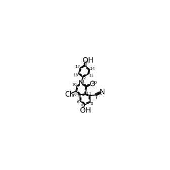 N#Cc1cc(O)cc2c(Cl)cn(-c3ccc(O)cc3)c(=O)c12